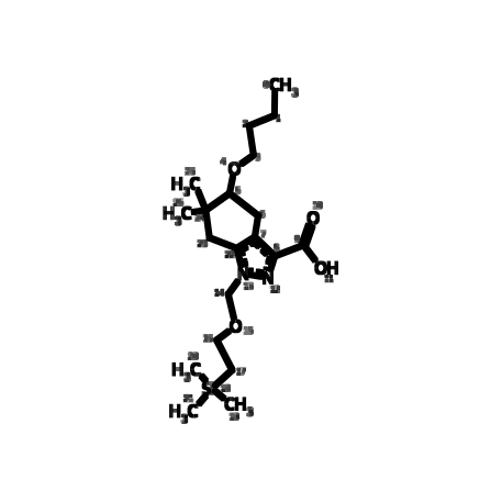 CCCCOC1Cc2c(C(=O)O)nn(COCC[Si](C)(C)C)c2CC1(C)C